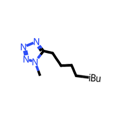 CCC(C)CCCCc1nnnn1C